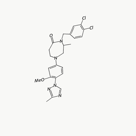 COc1cc(N2CCC(=O)N(Cc3ccc(Cl)c(Cl)c3)C(C)C2)ccc1-n1cnc(C)n1